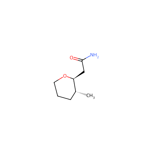 C[C@@H]1CCCO[C@H]1CC(N)=O